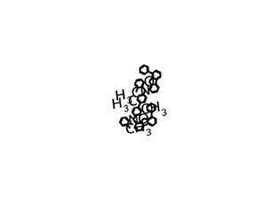 Cc1cc(N(c2ccccc2C)c2cccc3c2oc2c(-c4ccccc4)cccc23)ccc1-c1ccc(N(c2ccccc2C)c2cccc3c2oc2c(-c4ccccc4)cccc23)cc1C